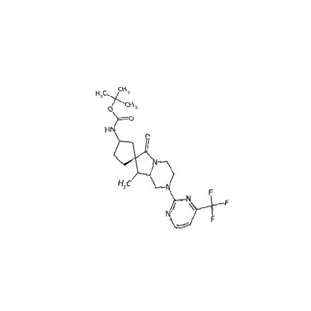 CC1C2CN(c3nccc(C(F)(F)F)n3)CCN2C(=O)[C@]12CCC(NC(=O)OC(C)(C)C)C2